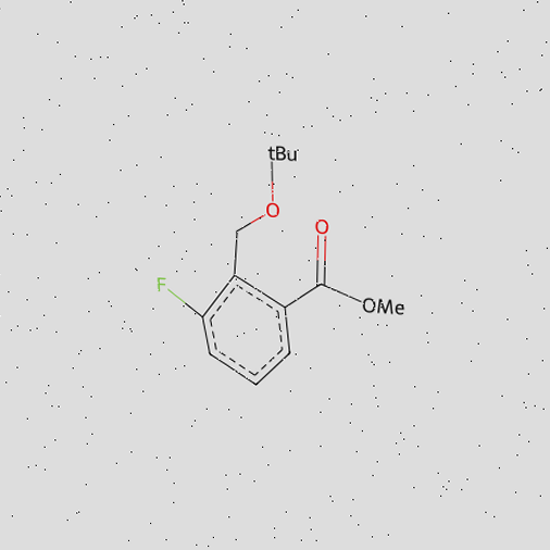 COC(=O)c1cccc(F)c1COC(C)(C)C